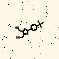 OCc1nc(-c2ccc(C(F)(F)F)cc2)sc1CO